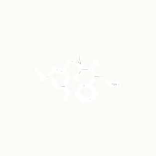 COc1cc(CN(C)C(=O)C(Cl)C(CC=O)c2ccccc2)cc(OC)c1